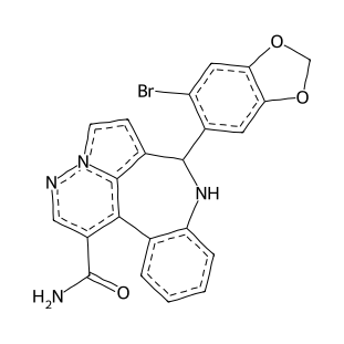 NC(=O)c1cnn2ccc3c2c1-c1ccccc1NC3c1cc2c(cc1Br)OCO2